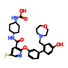 O=C(O)N[C@H]1CC[C@H](NC(=O)c2cc(F)cnc2Oc2cccc(-c3ccc(O)cc3CN3CCCOCC3)c2)CC1